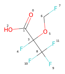 O=C(O)C(F)(OCF)C(F)(F)F